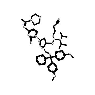 COc1ccc(C(OC[C@H]2O[C@@H](n3ccc(/N=C(/C)N4CCOCC4)nc3=O)CC2OP(OCCC#N)N(C(C)C)C(C)C)(c2ccccc2)c2ccc(OC)cc2)cc1